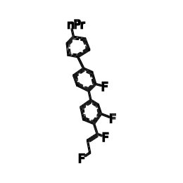 CCCc1ccc(-c2ccc(-c3ccc(/C(F)=C/CF)c(F)c3)c(F)c2)cc1